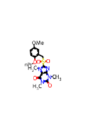 CCCOc1ccc(OC)cc1CS(=O)(=O)c1nc2c(c(=O)n(C)c(=O)n2C)n1C